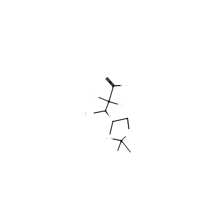 CC1(C)OC[C@H](C(O)C(F)(F)C(=O)O)O1